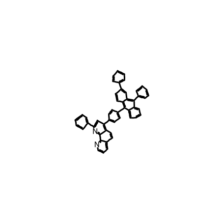 c1ccc(-c2ccc3c(-c4ccc(-c5cc(-c6ccccc6)nc6c5ccc5cccnc56)cc4)c4ccccc4c(-c4ccccc4)c3c2)cc1